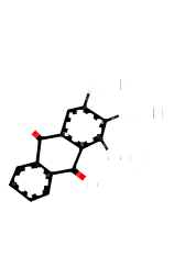 O=C1c2ccccc2C(=O)c2c1cc(S(=O)(=O)O)c(S(=O)(=O)O)c2C(=O)O